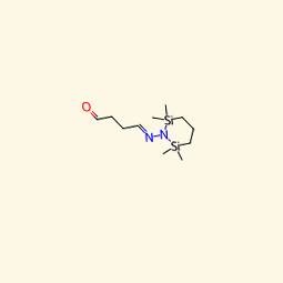 C[Si]1(C)CCC[Si](C)(C)N1N=CCCC=O